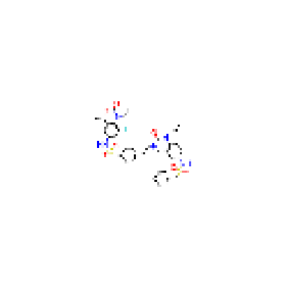 CCCN1C(=O)N(CCc2ccc(CS(=O)(=O)Nc3cc(F)c4c(c3)C(C)OC(=O)N4CC)cc2)Cc2cc(NS(=O)(=O)Cc3ccc(C)cc3)ccc21